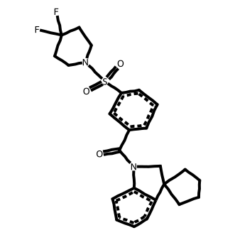 O=C(c1cccc(S(=O)(=O)N2CCC(F)(F)CC2)c1)N1CC2(CCCC2)c2ccccc21